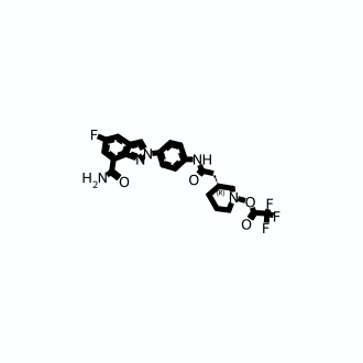 NC(=O)c1cc(F)cc2cn(-c3ccc(NC(=O)C[C@H]4CCCN(OC(=O)C(F)(F)F)C4)cc3)nc12